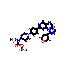 CN(C(=O)OC(C)(C)C)C1CCN(c2ccc(-c3cc4c(cn3)ncc3nnc(C5CCOCC5)n34)cc2)CC1